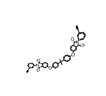 C#Cc1cccc(N2C(=O)c3ccc(Oc4ccc(C(C)(C)c5ccc(Oc6ccc7c(c6)C(=O)N(c6cccc(C#C)c6)C7=O)cc5)cc4)cc3C2=O)c1